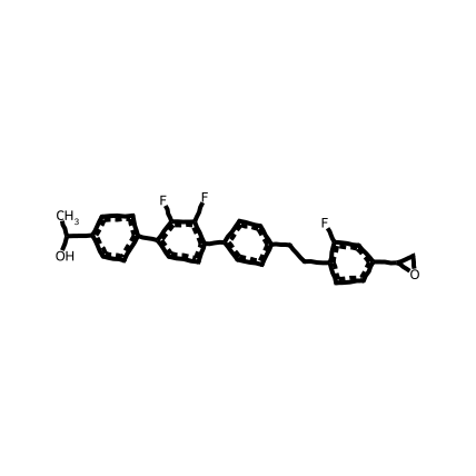 CC(O)c1ccc(-c2ccc(-c3ccc(CCc4ccc(C5CO5)cc4F)cc3)c(F)c2F)cc1